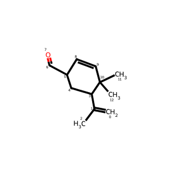 C=C(C)C1CC(C=O)C=CC1(C)C